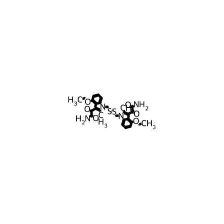 CCOc1cccc2c1c(C(=O)C(N)=O)c(C)n2CSSCn1c(C)c(C(=O)C(N)=O)c2c(OCC)cccc21